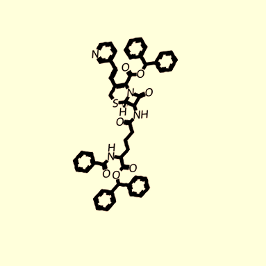 O=C(CCCC(NC(=O)c1ccccc1)C(=O)OC(c1ccccc1)c1ccccc1)NC1C(=O)N2C(C(=O)OC(c3ccccc3)c3ccccc3)=C(C=Cc3cccnc3)CS[C@@H]12